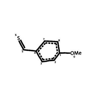 COc1ccc([C]=S)cc1